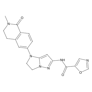 CN1CCc2cc(N3CCn4nc(NC(=O)c5cnco5)cc43)ccc2C1=O